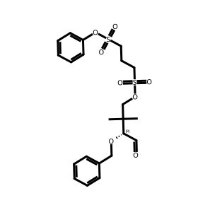 CC(C)(COS(=O)(=O)CCCS(=O)(=O)Oc1ccccc1)[C@H](C=O)OCc1ccccc1